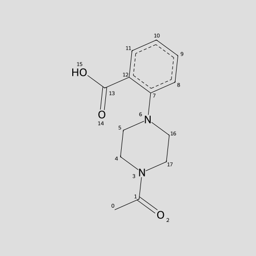 CC(=O)N1CCN(c2ccccc2C(=O)O)CC1